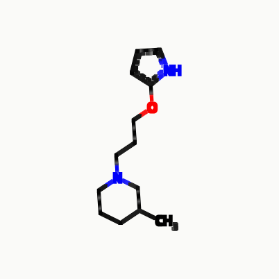 CC1CCCN(CCCOc2ccc[nH]2)C1